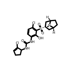 CN1[C@@H]2CC[C@H]1C[C@@H](S(=O)(=O)c1c(Cl)ccc(NC(=O)NC3CCC=C3Cl)c1O)C2